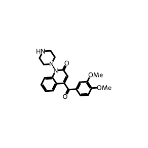 COc1ccc(C(=O)c2cc(=O)n(N3CCNCC3)c3ccccc23)cc1OC